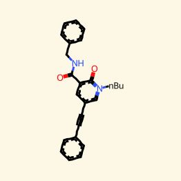 CCCCn1cc(C#Cc2ccccc2)cc(C(=O)NCc2ccccc2)c1=O